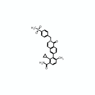 Cc1ccc(C(N)=O)c(C2CC2)c1-c1ccc2c(=O)n(Cc3ccc(S(C)(=O)=O)cc3)ccc2c1